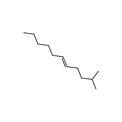 CCCCCC=CCCC(C)C